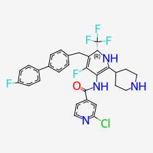 O=C(NC1=C(C2CCNCC2)N[C@@H](C(F)(F)F)C(Cc2ccc(-c3ccc(F)cc3)cc2)=C1F)c1ccnc(Cl)c1